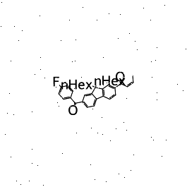 C/C=C\C(=O)c1ccc2c(c1)C(CCCCCC)(CCCCCC)c1cc(C(=O)c3ccc(F)cc3)ccc1-2